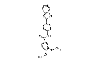 COc1ccc(C(=O)Nc2ccc(-c3nc4cnccc4s3)cc2)cc1OC